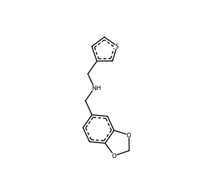 c1cc(CNCc2ccc3c(c2)OCO3)cs1